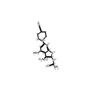 CCCc1cc(N2CCC(=O)CC2)nc2sc(OC(N)=O)c(N)c12